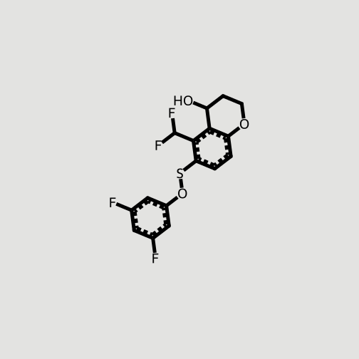 OC1CCOc2ccc(SOc3cc(F)cc(F)c3)c(C(F)F)c21